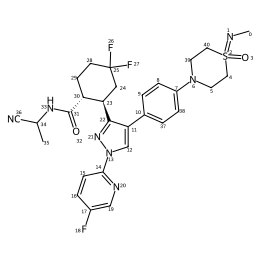 CN=S1(=O)CCN(c2ccc(-c3cn(-c4ccc(F)cn4)nc3[C@@H]3CC(F)(F)CC[C@H]3C(=O)NC(C)C#N)cc2)CC1